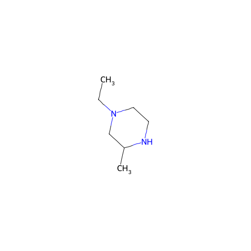 CCN1CCNC(C)C1